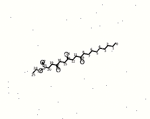 CCCCCCCCCC(=O)CCC(=O)CCC(=O)CCS(=O)OCC